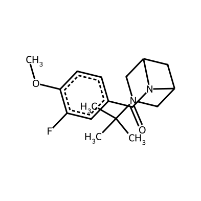 COc1ccc(C(=O)N2C3CC2CN(C(C)(C)C)C3)cc1F